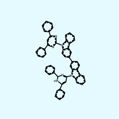 C1=C(c2ccccc2)NC(c2ccccc2)N=C1n1c2ccccc2c2ccc(-c3ccc4c(c3)c3ccccc3n4-c3nc(-c4ccccc4)cc(-c4ccccc4)n3)cc21